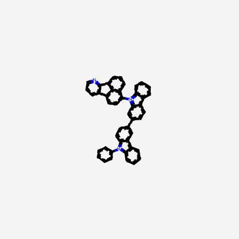 c1ccc(-n2c3ccccc3c3cc(-c4ccc5c6ccccc6n(-c6ccc7c8c(cccc68)-c6ncccc6-7)c5c4)ccc32)cc1